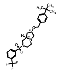 CC(C)(C)c1ccc(CO[C@@H]2C[C@H]3CN(S(=O)(=O)c4cccc(C(F)(F)F)c4)CCN3C2)cc1